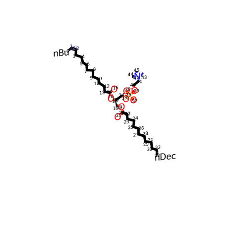 CCCC/C=C\CCCCCCCCCCCC(=O)O[C@H](COC(=O)CCCCCCCCCCCCCCCCCCCCC)COP(=O)([O-])OCC[N+](C)(C)C